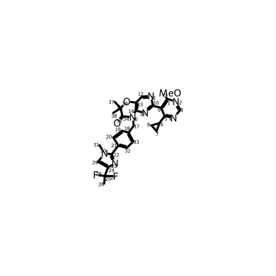 COc1ncnc(C2CC2)c1-c1ncc2c(n1)N(Cc1ccc(-c3nc(C(C)(F)F)cn3C)cc1)C(=O)C(C)(C)O2